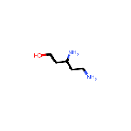 NCCC(N)CCO